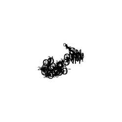 CCCCOc1nc(NC(=O)OCc2ccc(O[C@@H]3OC(C(=O)OC)[C@@H](OC(C)=O)C(OC(C)=O)C3OC(C)=O)c([N+](=O)[O-])c2)nc2c1ncn2C